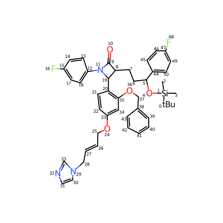 CC(C)(C)[Si](C)(C)OC(CCC1C(=O)N(c2ccc(F)cc2)C1c1ccc(OCC=CCn2ccnc2)cc1OCc1ccccc1)c1ccc(F)cc1